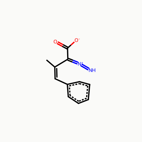 CC(=Cc1ccccc1)C(=[N+]=N)C(=O)[O-]